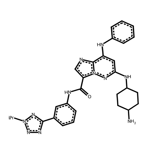 CC(C)n1nnc(-c2cccc(NC(=O)c3cnc4c(Nc5ccccc5)cc(NC5CCC(N)CC5)nn34)c2)n1